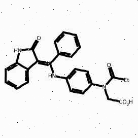 CCC(=O)N(CC(=O)O)c1ccc(NC(=C2C(=O)Nc3ccccc32)c2ccccc2)cc1